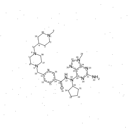 CN1CCC(CN2CCN(Cc3ccc(C(=O)NN(c4nc(N)nc5c4ncn5C)C4CCCC4)cc3)CC2)CC1